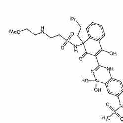 COCCNCCS(=O)(=O)NC1(CCC(C)C)C(=O)C(C2=NS(O)(O)c3cc(NS(C)(=O)=O)ccc3N2)=C(O)c2ccccc21